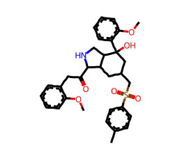 COc1ccccc1CC(=O)C1NCC2C1CC(CS(=O)(=O)c1ccc(C)cc1)CC2(O)c1ccccc1OC